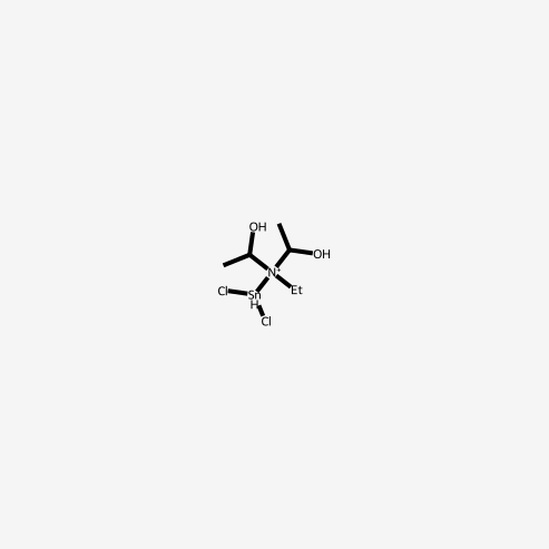 CC[N+](C(C)O)(C(C)O)[SnH]([Cl])[Cl]